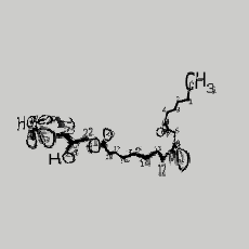 CCCCC[C@@H]1O[C@@H]1C[C@H]1O[C@H]1CCCCCCCC(=O)OCC(O)COP(=O)(O)O